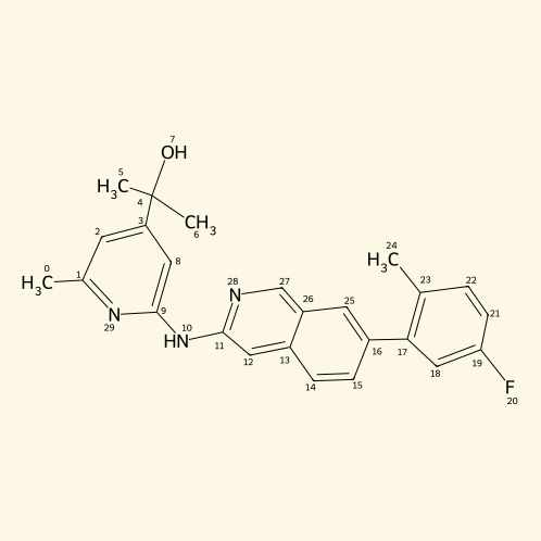 Cc1cc(C(C)(C)O)cc(Nc2cc3ccc(-c4cc(F)ccc4C)cc3cn2)n1